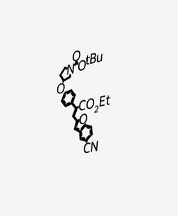 CCOC(=O)/C(=C\c1cc2cc(C#N)ccc2o1)c1ccc(O[C@H]2CCN(C(=O)OC(C)(C)C)C2)cc1